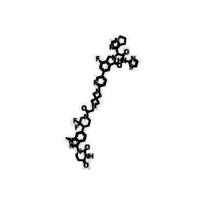 Cn1nc(N2CCC(=O)NC2=O)c2ccc(C3CCN(C(=O)CN4CC5(C4)CN(c4ccc(-c6cc(F)c7c(c6)C(=O)N(C(C(=O)Nc6nccs6)c6ncn8c6CCC8)C7)cn4)C5)CC3(F)F)cc21